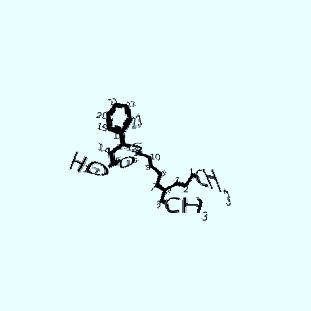 CCCCC(CC)CCCCCSC(CC(=O)O)c1ccccc1